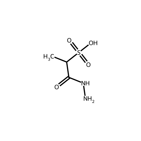 CC(C(=O)NN)S(=O)(=O)O